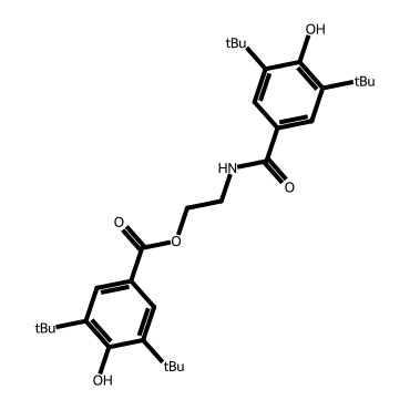 CC(C)(C)c1cc(C(=O)NCCOC(=O)c2cc(C(C)(C)C)c(O)c(C(C)(C)C)c2)cc(C(C)(C)C)c1O